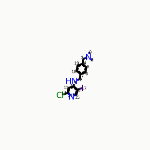 CN(C)Cc1ccc(CNc2cc(Cl)ncc2I)cc1